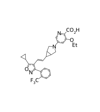 CCOc1cc(N2CC3C(/C=C/c4c(-c5ccccc5C(F)(F)F)noc4C4CC4)C3C2)cnc1C(=O)O